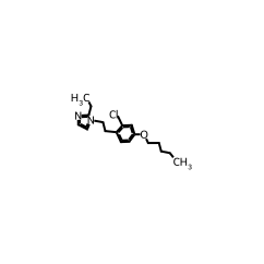 CCCCCOc1ccc(CCn2ccnc2CC)c(Cl)c1